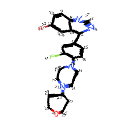 Fc1cc(-c2ncnc3ccc(Br)cc23)ccc1N1CCN(C2CCOCC2)CC1